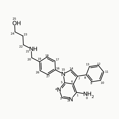 Nc1ncnc2c1c(-c1ccccc1)cn2-c1ccc(CNCCCO)cc1